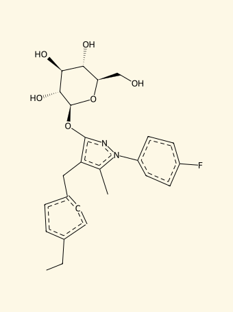 CCc1ccc(Cc2c(O[C@@H]3O[C@H](CO)[C@@H](O)[C@H](O)[C@H]3O)nn(-c3ccc(F)cc3)c2C)cc1